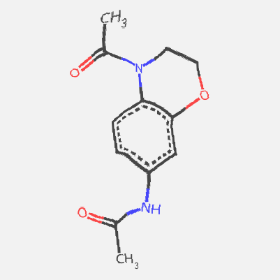 CC(=O)Nc1ccc2c(c1)OCCN2C(C)=O